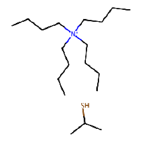 CC(C)S.CCCC[N+](CCCC)(CCCC)CCCC